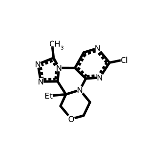 CCC12COCCN1c1nc(Cl)ncc1-n1c(C)nnc12